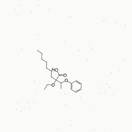 CCCCCCCC(OCC)(C(=O)O)C(C)Oc1ccccc1